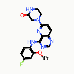 CC(C)Oc1cc(F)ccc1Nc1ncnc2ccc(N3CCNC(=O)C3)nc12